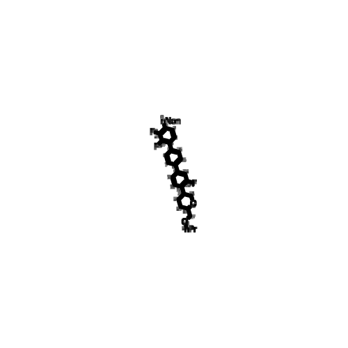 CCCCCCCCCc1ccc(-c2ccc(-c3ccc(C4CCC(COCCC)OC4)c(F)c3)cc2)c(F)c1F